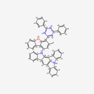 Cc1cc(-n2c3ccccc3c3cc4c5ccccc5n5c6ccccc6c(c32)c45)c2c(oc3ccccc32)c1-c1nc(-c2ccccc2)nc(-c2ccccc2)n1